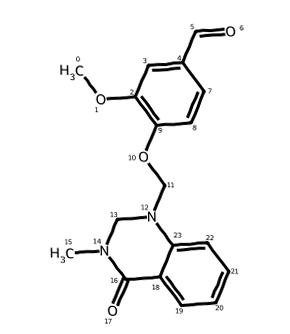 COc1cc(C=O)ccc1OCN1CN(C)C(=O)c2ccccc21